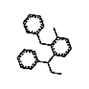 CCC(c1ccccc1)c1cccc(C)c1Cc1ccccc1